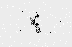 Cn1ccnc1CN1CCN(c2cc(NCCC(C)(C)C)ncn2)CC1